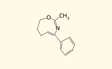 C/C1=N/C(c2ccccc2)=C/CCCO1